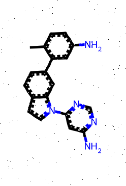 Cc1ccc(N)cc1-c1ccc2ccn(-c3cc(N)ncn3)c2c1